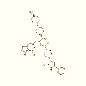 CN1CCN(C2CCN(C(=O)C(Cc3cc(Cl)c4[nH]ncc4c3)OC(=O)N3CCC(n4cc(-c5ccccc5)[nH]c4=O)CC3)CC2)CC1